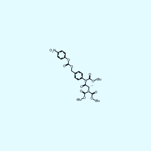 C[C@@H](C(=O)N(C(=O)OC(C)(C)C)c1ccc(COC(=O)Oc2ccc([N+](=O)[O-])cc2)cc1)N(C(=O)OC(C)(C)C)C(=O)OC(C)(C)C